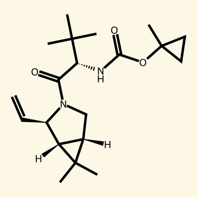 C=C[C@@H]1[C@@H]2[C@H](CN1C(=O)[C@@H](NC(=O)OC1(C)CC1)C(C)(C)C)C2(C)C